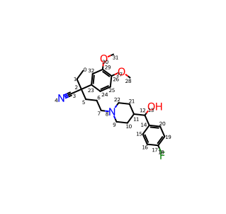 CCC(C#N)(CCCN1CCC(C(O)c2ccc(F)cc2)CC1)c1ccc(OC)c(OC)c1